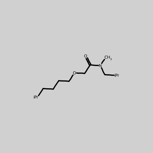 CC(C)CCCCOCC(=O)N(C)CC(C)C